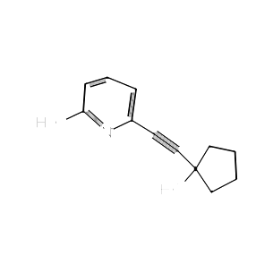 Cc1cccc(C#CC2(O)CCCC2)n1